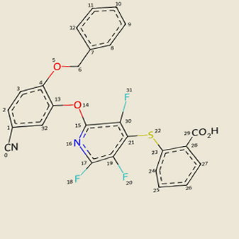 N#Cc1ccc(OCc2ccccc2)c(Oc2nc(F)c(F)c(Sc3ccccc3C(=O)O)c2F)c1